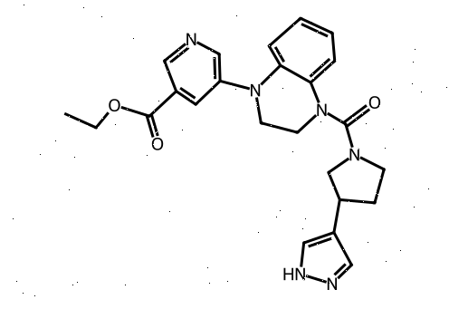 CCOC(=O)c1cncc(N2CCN(C(=O)N3CCC(c4cn[nH]c4)C3)c3ccccc32)c1